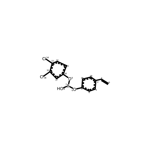 C=Cc1ccc(OB(O)Oc2ccc(Cl)c(Cl)c2)cc1